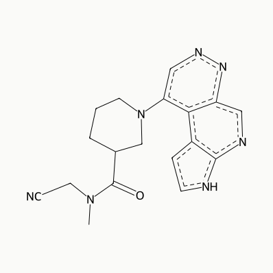 CN(CC#N)C(=O)C1CCCN(c2cnnc3cnc4[nH]ccc4c23)C1